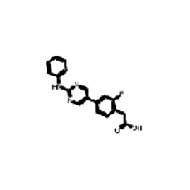 O=C(O)Cc1ccc(-c2cnc(Nc3ccccc3)nc2)cc1F